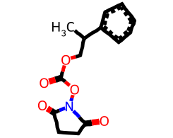 CC(COC(=O)ON1C(=O)CCC1=O)c1ccccc1